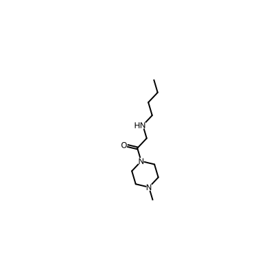 CCCCNCC(=O)N1CCN(C)CC1